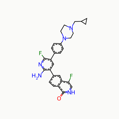 Nc1nc(F)c(-c2ccc(N3CCN(CC4CC4)CC3)cc2)cc1-c1ccc2c(=O)[nH]cc(F)c2c1